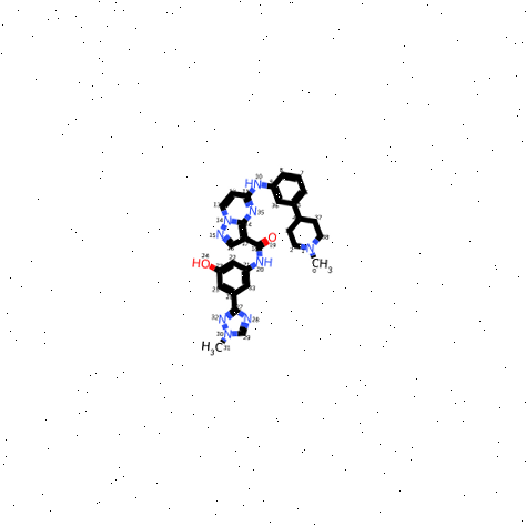 CN1CCC(c2cccc(Nc3ccn4ncc(C(=O)Nc5cc(O)cc(-c6ncn(C)n6)c5)c4n3)c2)CC1